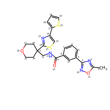 Cc1nc(-c2cccc(C(=O)NCC3(c4nc(-c5cccs5)cs4)CCOCC3)c2)no1